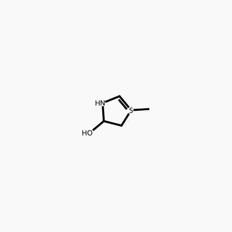 CS1=CNC(O)C1